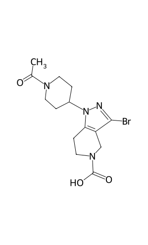 CC(=O)N1CCC(n2nc(Br)c3c2CCN(C(=O)O)C3)CC1